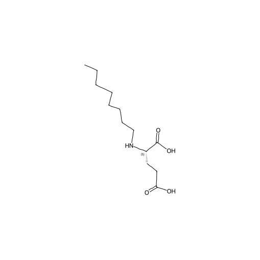 CCCCCCCCN[C@@H](CCC(=O)O)C(=O)O